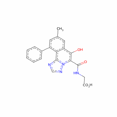 Cc1cc(-c2ccccc2)c2c(c1)c(O)c(C(=O)NCC(=O)O)n1ncnc21